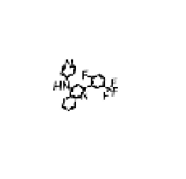 Fc1ccc(C(F)(F)F)cc1-c1cc(Nc2ccncc2)c2ccccc2n1